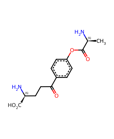 C[C@H](N)C(=O)Oc1ccc(C(=O)CC[C@H](N)C(=O)O)cc1